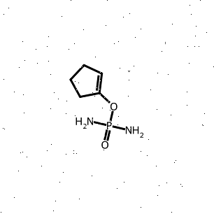 NP(N)(=O)OC1=CCCC1